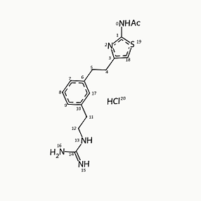 CC(=O)Nc1nc(CCc2cccc(CCNC(=N)N)c2)cs1.Cl